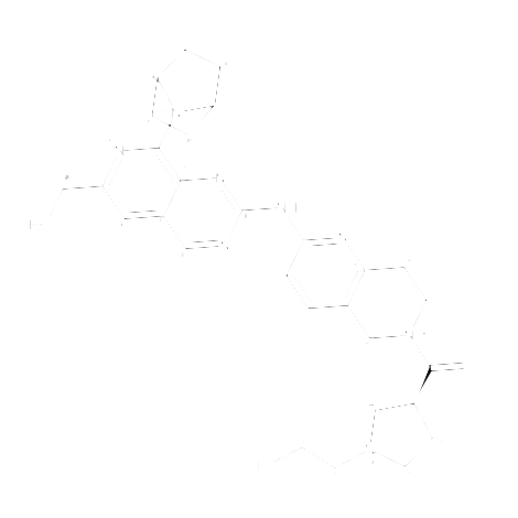 C[C@@H](O)c1cc2cnc(Nc3ccc4c(n3)CCN(C(=O)[C@H]3CCN(CCO)C3)C4)nc2c(N2C3CCC2CC3)n1